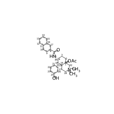 CC(=O)O[C@]12CC[C@@H](NC(=O)c3ccc4ccccc4c3)C[C@]1(c1cccc(O)c1)CC[N+](C)(C)C2